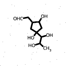 CC(O)C(O)C1(O)CC(O)C(CC=O)C1